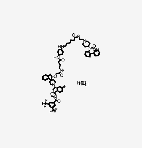 CN(CCN1CCC(N(C(=O)O)c2ccccc2-c2ccccc2)CC1)C(=O)CCCCCNc1ccc(NC(=O)CCCN(C)C(=O)CO[C@H]2Cc3ccccc3C23CCN(CC[C@@]2(c4ccc(F)cc4)CN(C(=O)c4cc(C(F)(F)F)cc(C(F)(F)F)c4)CO2)CC3)cc1.Cl.Cl.Cl